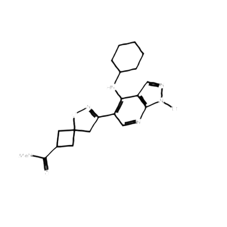 CCn1ncc2c(NC3CCCCC3)c(C3=NOC4(C3)CC(C(=O)NC)C4)cnc21